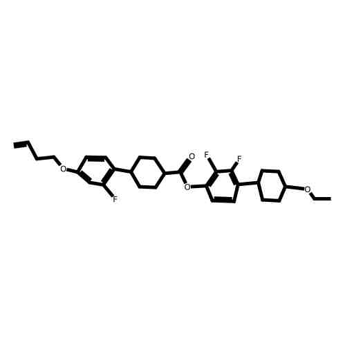 C=CCCOc1ccc(C2CCC(C(=O)Oc3ccc(C4CCC(OCC)CC4)c(F)c3F)CC2)c(F)c1